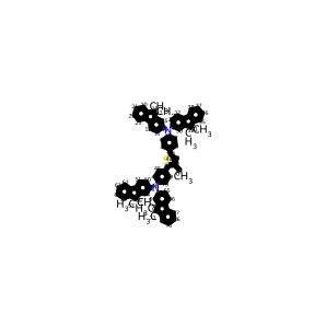 CCc1cc(-c2ccc(N(c3ccc4c(c3)C(C)(C)c3ccccc3-4)c3ccc4c(c3)C(C)(C)c3ccccc3-4)cc2)sc1-c1ccc(N(c2ccc3c(c2)C(C)(C)c2ccccc2-3)c2ccc3c(c2)C(C)(C)c2ccccc2-3)cc1